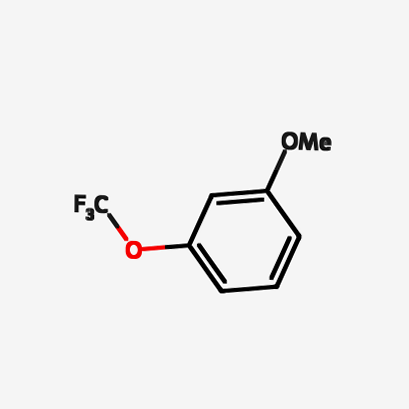 [CH2-][OH+]c1cccc(OC(F)(F)F)c1